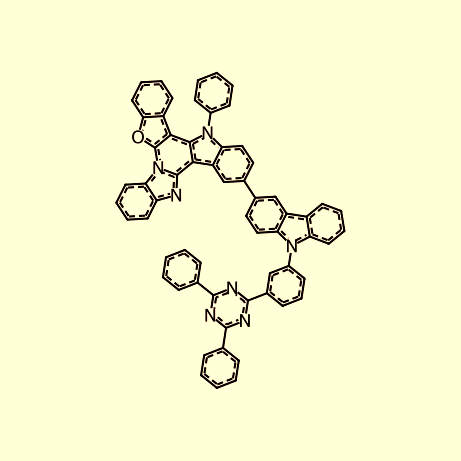 c1ccc(-c2nc(-c3ccccc3)nc(-c3cccc(-n4c5ccccc5c5cc(-c6ccc7c(c6)c6c(c8c9ccccc9oc8n8c9ccccc9nc68)n7-c6ccccc6)ccc54)c3)n2)cc1